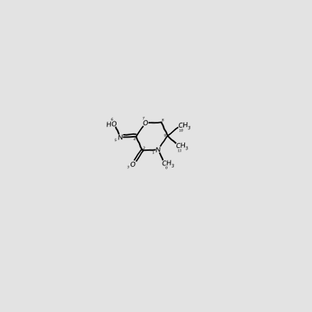 CN1C(=O)C(=NO)OCC1(C)C